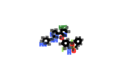 Cl.O=S(=O)(Cc1ccccc1)Nc1c(F)cc(Oc2ncccc2-c2ccnc(N[C@H]3CCCNC3)n2)cc1F